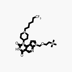 C[Si](C)(C)CCOCn1ccc2c1ncc1c(=O)[nH]c(=O)n(C3CCN(CCCCCC(F)(F)F)CC3)c12